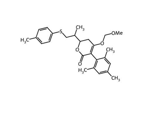 COCOC1=C(c2c(C)cc(C)cc2C)C(=O)OC(C(C)CSc2ccc(C)cc2)C1